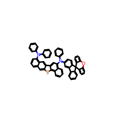 c1ccc(N(c2ccccc2)c2cccc3cc4sc5c6ccccc6c(N(c6ccccc6)c6ccc7c(c6)-c6ccccc6C76c7ccccc7Oc7ccccc76)cc5c4cc23)cc1